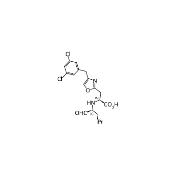 CC(C)C[C@@H](C=O)N[C@@H](Cc1nc(Cc2cc(Cl)cc(Cl)c2)co1)C(=O)O